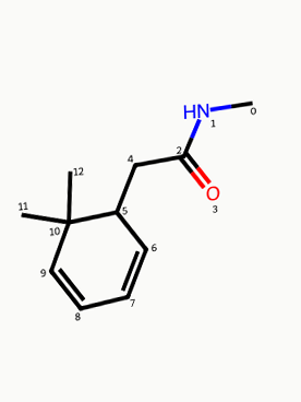 CNC(=O)CC1C=CC=CC1(C)C